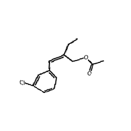 CCC(=Cc1cccc(Cl)c1)COC(C)=O